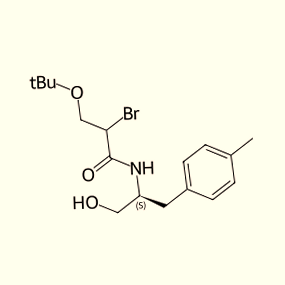 Cc1ccc(C[C@@H](CO)NC(=O)C(Br)COC(C)(C)C)cc1